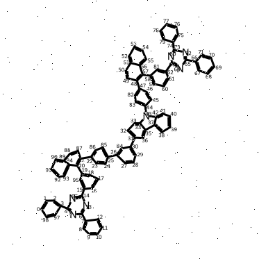 c1ccc(-c2nc(-c3ccccc3)nc(-c3cccc(-c4c(-c5ccc(-c6cccc(-c7ccc8c(c7)c7ccccc7n8-c7ccc(-c8ccc9ccccc9c8-c8cccc(-c9nc(-c%10ccccc%10)nc(-c%10ccccc%10)n9)c8)cc7)c6)cc5)ccc5ccccc45)c3)n2)cc1